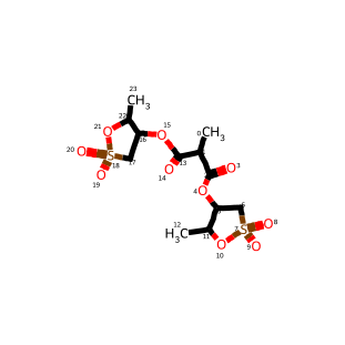 CC(C(=O)OC1CS(=O)(=O)OC1C)C(=O)OC1CS(=O)(=O)OC1C